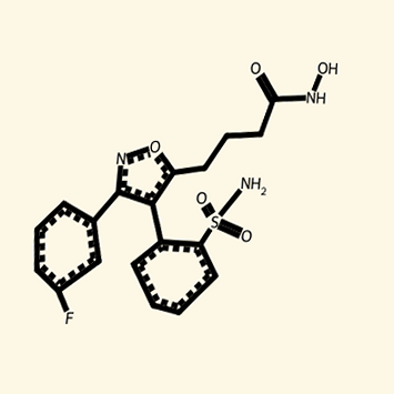 NS(=O)(=O)c1ccccc1-c1c(-c2cccc(F)c2)noc1CCCC(=O)NO